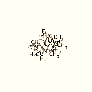 COC(=O)C(OC(C)(C)C)c1c(C(C)C)nc2c(c1-c1ccc(F)cc1)CN(C(C)=O)CC2(C)C